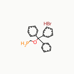 Br.PCOC(c1ccccc1)(c1ccccc1)c1ccccc1